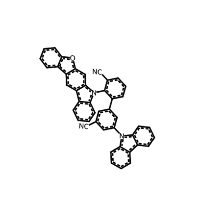 N#Cc1cc(-c2cccc(C#N)c2-n2c3ccccc3c3cc4c(cc32)oc2ccccc24)cc(-n2c3ccccc3c3ccccc32)c1